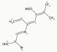 C=CC(=C\C(OC)=C(/C)C(F)(F)F)/N=C/C(Br)C=O